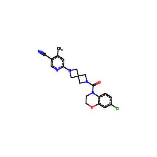 Cc1cc(N2CC3(CN(C(=O)N4CCOc5cc(Cl)ccc54)C3)C2)ncc1C#N